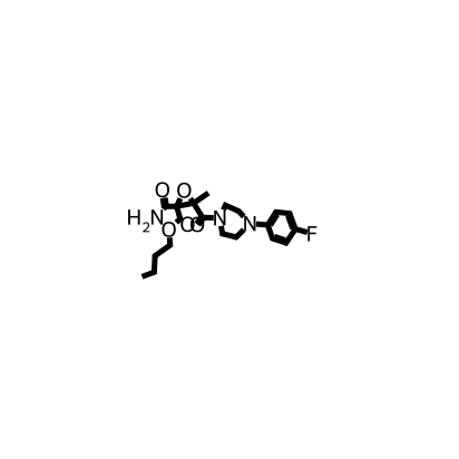 CCCCOC(=O)C1(C(N)=O)OC1(C)C(=O)N1CCN(c2ccc(F)cc2)CC1